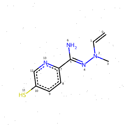 C=CN(C)/N=C(\N)c1ccc(S)cn1